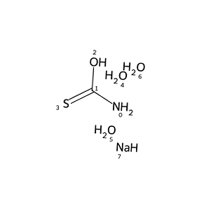 NC(O)=S.O.O.O.[NaH]